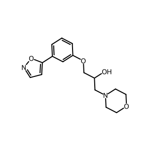 OC(COc1cccc(-c2ccno2)c1)CN1CCOCC1